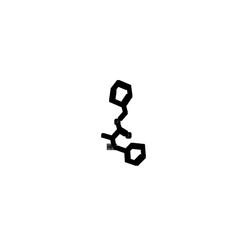 CC(Nc1ccccc1)C(=O)OCc1ccccc1